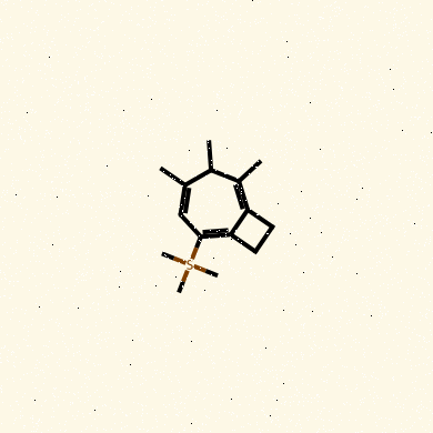 CC1=CC(S(C)(C)C)=C2CCC2=C(C)C1C